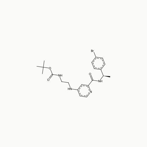 C[C@@H](NC(=O)c1cc(NCCNC(=O)OC(C)(C)C)ccn1)c1ccc(Br)cc1